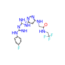 N=C(/N=C(/N)Nc1cc(NCC(=O)NCC(F)(F)F)ncn1)Nc1ccc(F)cc1